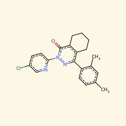 Cc1ccc(-c2nn(-c3ccc(Cl)cn3)c(=O)c3c2CCCC3)c(C)c1